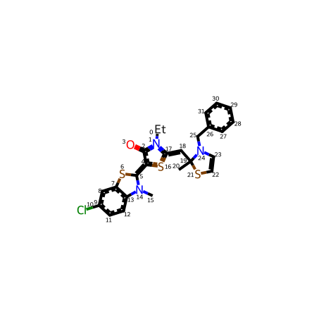 CCn1c(=O)/c(=C2\Sc3cc(Cl)ccc3N2C)s/c1=C\C1(C)SC=CN1Cc1ccccc1